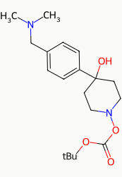 CN(C)Cc1ccc(C2(O)CCN(OC(=O)OC(C)(C)C)CC2)cc1